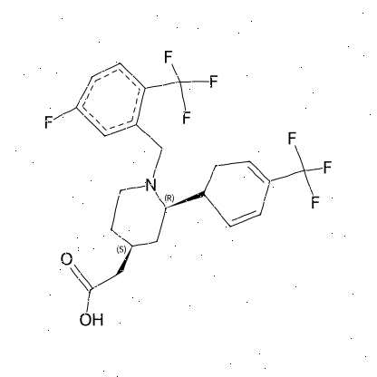 O=C(O)C[C@H]1CCN(Cc2cc(F)ccc2C(F)(F)F)[C@@H](C2C=CC(C(F)(F)F)=CC2)C1